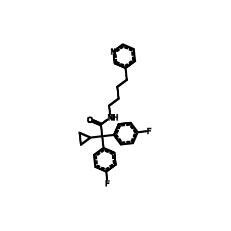 O=C(NCCCCc1cccnc1)C(c1ccc(F)cc1)(c1ccc(F)cc1)C1CC1